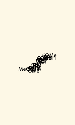 COc1ccc2c(c1OC)C(=O)O[C@@H]2[C@H]1c2c(c(N=Nc3c4c(c(OC)c5c3OCO5)[C@H]([C@H]3OC(=O)c5c3ccc(CO)c5OC)N(C)CC4)c3c(c2CO)OCO3)CCN1C